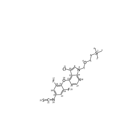 C[Si](C)(C)CCOCn1cc(Cl)c2c(Oc3c(F)cc(N=C=S)cc3F)ccnc21